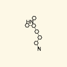 N#Cc1cccc(-c2cccc(-c3ccc(-c4ccc(Nc5ccccc5)c(-c5ccccc5)c4)cc3)c2)c1